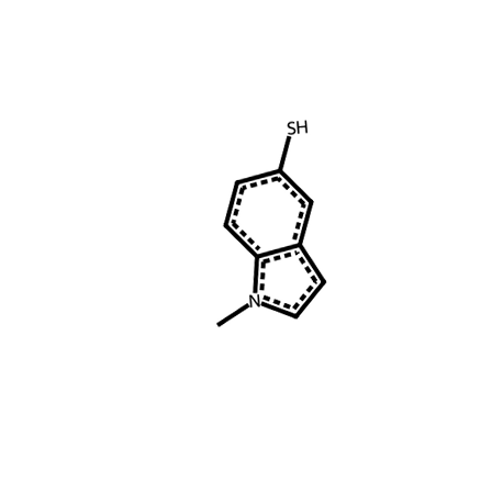 Cn1ccc2cc(S)ccc21